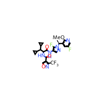 COc1ncc(F)cc1[C@H](C)n1ncc(NC(=O)C(NC(=O)c2conc2C(F)(F)F)C(C2CC2)C2CC2)c1F